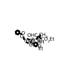 CCCc1c(C=O)c(C)c(C(=O)OCC)n1Nc1cc(S(=O)(=O)N2CCN(CCOC(=O)c3ccccc3)CC2)ccc1OCC